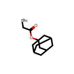 CC(C)(C)CC(=O)OC12CC3CC(CC(C3)C1)C2